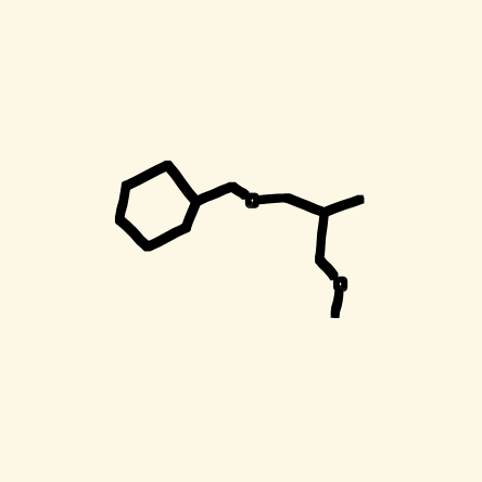 COCC(C)COCC1CCCCC1